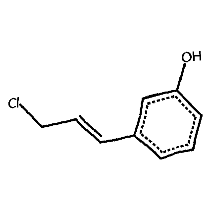 Oc1cccc(/C=C/CCl)c1